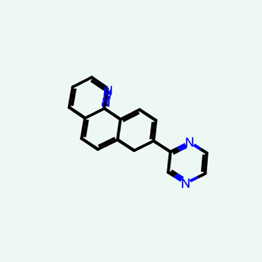 C1=CC2=CC=C3CC(c4cnccn4)=CC=C3C23N=CN=NC3=C1